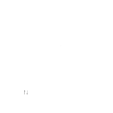 CCC(C)(CC)CCC#N